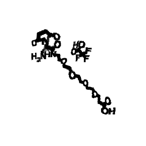 NC[C@@H](C(=O)NCCOCCOCCOCCOCCC(=O)O)N1C(=O)C=CC1=O.O=C(O)C(F)(F)F